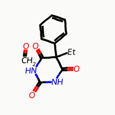 C=O.CCC1(c2ccccc2)C(=O)NC(=O)NC1=O